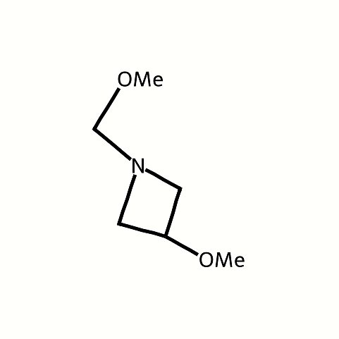 COCN1CC(OC)C1